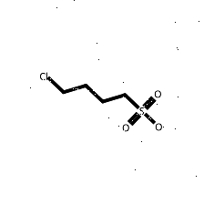 [O]S(=O)(=O)CCCCCl